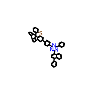 c1ccc(-c2nc(-c3ccc(-c4ccc5c(c4)Sc4ccccc4C54c5ccccc5-c5ccccc54)cc3)nc(-c3ccc(-c4ccccc4)c4ccccc34)n2)cc1